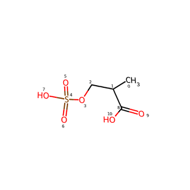 CC(COS(=O)(=O)O)C(=O)O